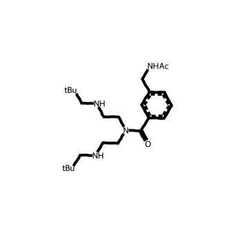 CC(=O)NCc1cccc(C(=O)N(CCNCC(C)(C)C)CCNCC(C)(C)C)c1